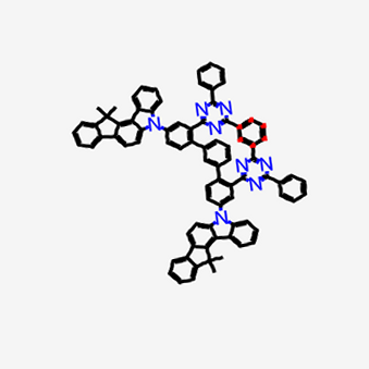 CC1(C)c2ccccc2-c2ccc3c(c21)c1ccccc1n3-c1ccc(-c2cccc(-c3ccc(-n4c5ccccc5c5c6c(ccc54)-c4ccccc4C6(C)C)cc3-c3nc(-c4ccccc4)nc(-c4ccccc4)n3)c2)c(-c2nc(-c3ccccc3)nc(-c3ccccc3)n2)c1